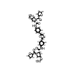 CC(C)(C)O[C@@H]1C[C@@H](C(=O)Nc2ccc(-c3cnc(-c4ccc(NC(=O)[C@@H]5C[C@@H](OC(C)(C)C)CN5C(=O)[C@H]5CCCO5)cc4)o3)cc2)N(C(=O)[C@H]2CCCO2)C1